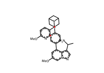 COc1cc(-c2ccc(N3CC4CC(C3)N4Cc3ccc(OC)nc3)nc2)c2c(C(C)N)cnn2c1